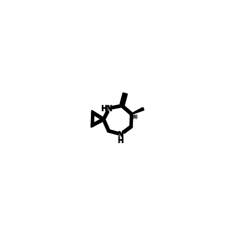 C=C1NC2(CC2)CNC[C@@H]1C